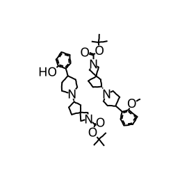 CC(C)(C)OC(=O)N1CC2(CC[C@@H](N3CCC(c4ccccc4O)CC3)C2)C1.COc1ccccc1C1CCN([C@@H]2CCC3(C2)CN(C(=O)OC(C)(C)C)C3)CC1